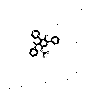 Cc1c(-c2ccccc2)cc(OC(=O)O)c(C(C)c2ccccc2)c1-c1ccccc1